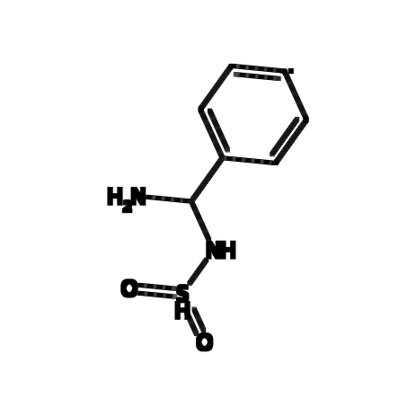 NC(N[SH](=O)=O)c1cc[c]cc1